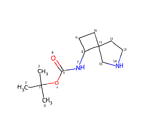 CC(C)(C)OC(=O)NC1CCC12CCNC2